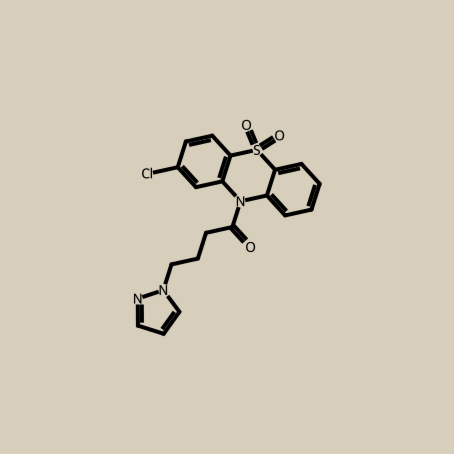 O=C(CCCn1cccn1)N1c2ccccc2S(=O)(=O)c2ccc(Cl)cc21